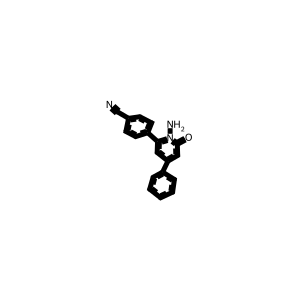 N#Cc1ccc(-c2cc(-c3ccccc3)cc(=O)n2N)cc1